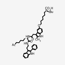 CC(=O)CCCCC[C@H](NC(=O)Cc1c(C)[nH]c2ccc(OCCCCCCN(C(=O)O)C(C)(C)C)cc12)C(=O)NCCc1c(-c2ccccc2)[nH]c2ccccc12